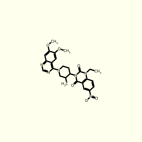 CCn1c(=O)n(C2CCN(c3ncnc4cc(OC)c(OC)cc34)CC2C)c(=O)c2cc([N+](=O)[O-])ccc21